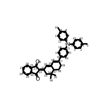 Cc1ccc(N(c2ccc(C)cc2)c2ccc(C3=CC4=CC(=C5C(=O)c6ccccc6C5=O)CC(C)(C)C4CC3)cc2)cc1